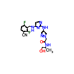 CC(CO)NC(=O)Cn1cc(Nc2nccc(NCc3c(F)ccc(C#N)c3F)n2)cn1